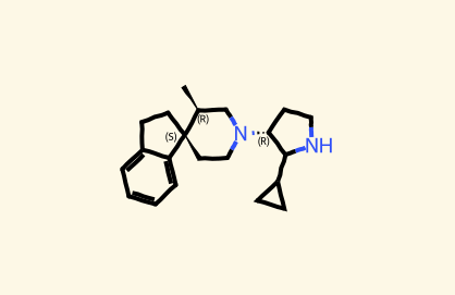 C[C@H]1CN([C@@H]2CCNC2C2CC2)CC[C@@]12CCc1ccccc12